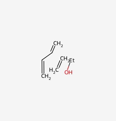 C=C.C=CC=C.CCO